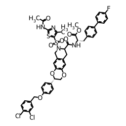 COC(=O)[C@H](Cc1ccc(-c2ccc(F)cc2)cc1)NC(=O)C1Cc2cc3c(cc2CN1S(=O)(=O)c1sc(NC(C)=O)nc1C)O[C@@H](c1ccc(OCc2ccc(Cl)c(Cl)c2)cc1)CO3